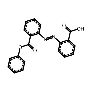 O=C(O)c1ccccc1N=Nc1ccccc1C(=O)Oc1ccccc1